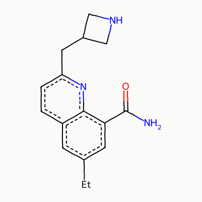 CCc1cc(C(N)=O)c2nc(CC3CNC3)ccc2c1